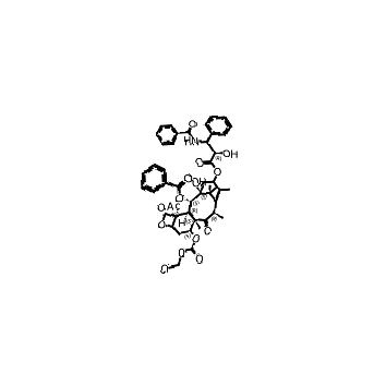 CC(=O)O[C@@]12COC1C[C@H](OC(=O)OCCl)[C@@]1(C)C(=O)[C@H](C)C3=C(C)C(OC(=O)[C@H](O)C(NC(=O)c4ccccc4)c4ccccc4)C[C@@](O)([C@@H](OC(=O)c4ccccc4)[C@@H]12)C3(C)C